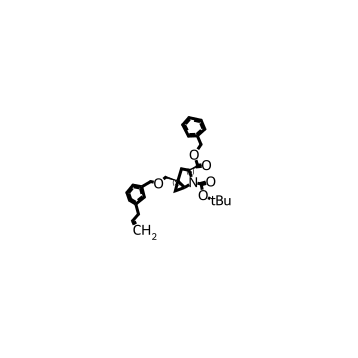 C=CCc1cccc(COC[C@]23CC2N(C(=O)OC(C)(C)C)[C@H](C(=O)OCc2ccccc2)C3)c1